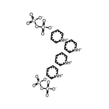 [O]=[Cr](=[O])([O-])[O][Cr](=[O])(=[O])[O-].[O]=[Cr](=[O])([O-])[O][Cr](=[O])(=[O])[O-].c1cc[nH+]cc1.c1cc[nH+]cc1.c1cc[nH+]cc1.c1cc[nH+]cc1